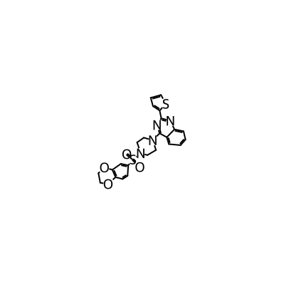 O=S(=O)(c1ccc2c(c1)OCCO2)N1CCN(c2nc(-c3cccs3)nc3ccccc23)CC1